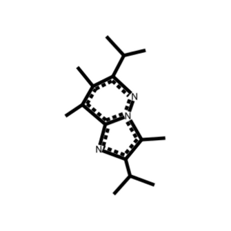 Cc1c(C(C)C)nn2c(C)c(C(C)C)nc2c1C